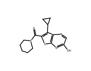 O=C(c1sc2nc(O)cnc2c1C1CC1)N1CCCCC1